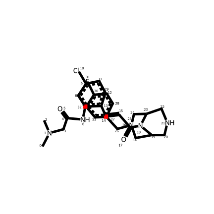 CN(C)CC(=O)Nc1cc(Cl)ccc1C=CC(=O)N1C2CNCC1CN(Cc1ccc(F)cc1)C2